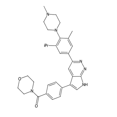 Cc1cc(-c2cc3c(-c4ccc(C(=O)N5CCOCC5)cc4)c[nH]c3nn2)cc(C(C)C)c1N1CCN(C)CC1